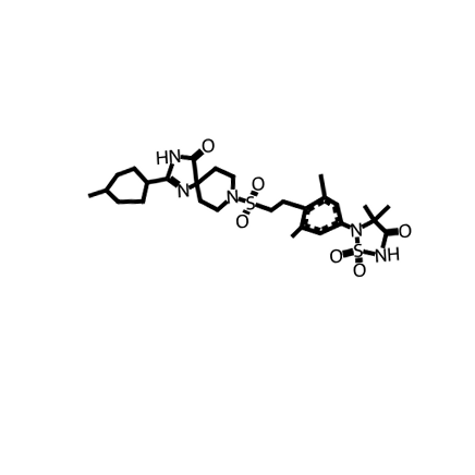 Cc1cc(N2C(C)(C)C(=O)NS2(=O)=O)cc(C)c1CCS(=O)(=O)N1CCC2(CC1)N=C(C1CCC(C)CC1)NC2=O